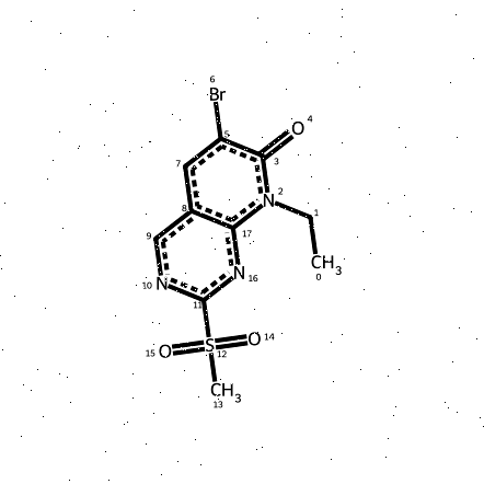 CCn1c(=O)c(Br)cc2cnc(S(C)(=O)=O)nc21